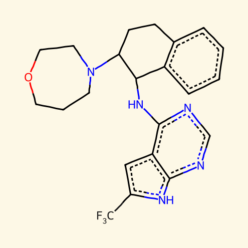 FC(F)(F)c1cc2c(NC3c4ccccc4CCC3N3CCCOCC3)ncnc2[nH]1